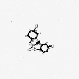 C#CP(=O)(Oc1ccc(Cl)cc1)Oc1ccc(Cl)cc1